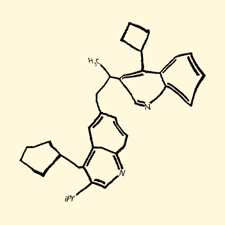 CC(C)c1cnc2ccc(CC(C)c3cnc4ccccc4c3C3CCC3)cc2c1C1CCCC1